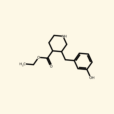 CCOC(=O)C1CCNCC1Cc1cccc(O)c1